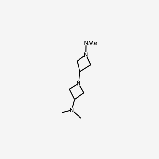 CNN1CC(N2CC(N(C)C)C2)C1